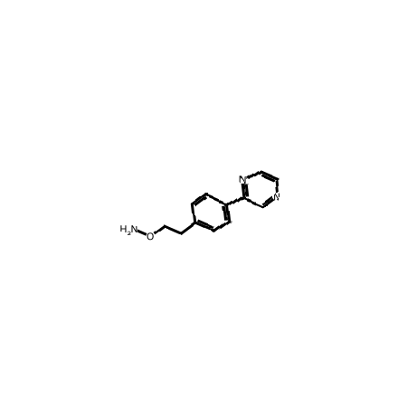 NOCCc1ccc(-c2cnccn2)cc1